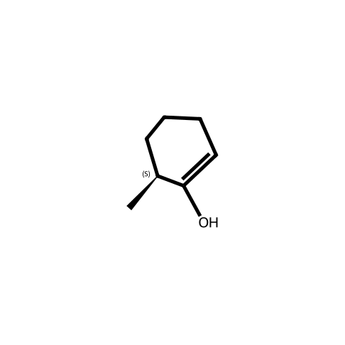 C[C@H]1CCCC=C1O